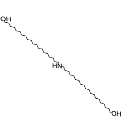 OCCCCCCCCCCCCCCCCCCCCNCCCCCCCCCCCCCCCCCCCCO